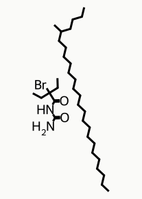 CCC(Br)(CC)C(=O)NC(N)=O.CCCCCCCCCCCCCCCCCCCCC(C)CCCC